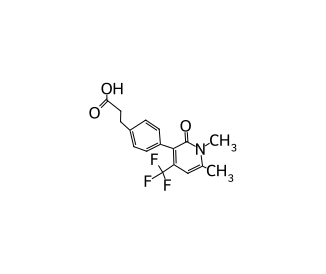 Cc1cc(C(F)(F)F)c(-c2ccc(CCC(=O)O)cc2)c(=O)n1C